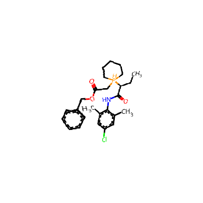 CCC(C(=O)Nc1c(C)cc(Cl)cc1C)[PH]1(CC(=O)OCc2ccccc2)CCCCC1